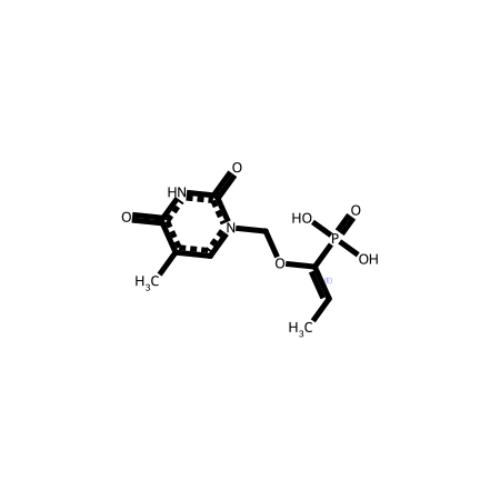 C/C=C(\OCn1cc(C)c(=O)[nH]c1=O)P(=O)(O)O